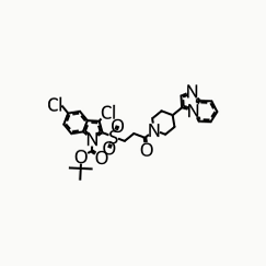 CC(C)(C)OC(=O)n1c(S(=O)(=O)CCC(=O)N2CCC(c3cnc4ccccn34)CC2)c(Cl)c2cc(Cl)ccc21